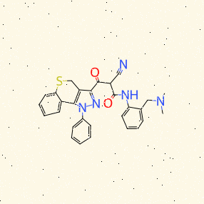 CN(C)Cc1ccccc1NC(=O)C(C#N)C(=O)c1nn(-c2ccccc2)c2c1CSc1ccccc1-2